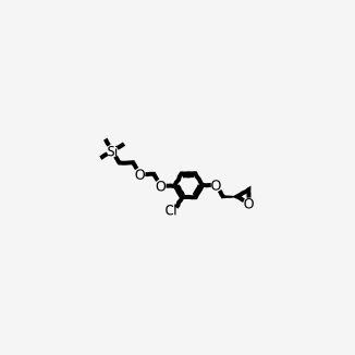 C[Si](C)(C)CCOCOc1ccc(OC[C@H]2CO2)cc1Cl